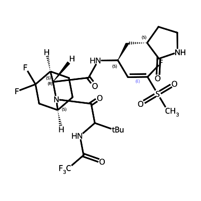 CC(C)(C)C(NC(=O)C(F)(F)F)C(=O)N1[C@H]2CC[C@@H]([C@@H]1C(=O)N[C@H](/C=C(\F)S(C)(=O)=O)C[C@@H]1CCNC1=O)C(F)(F)C2